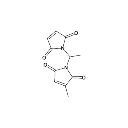 CC1=CC(=O)N(C(C)N2C(=O)C=CC2=O)C1=O